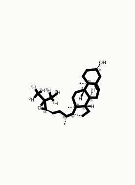 [2H]C([2H])([2H])C1(C([2H])([2H])[2H])O[C@@H]1CC[C@@H](C)[C@H]1CC[C@H]2[C@@H]3CC=C4C[C@@H](O)CC[C@]4(C)[C@H]3CC[C@]12C